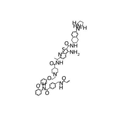 C=CC(=O)NCc1ccc(C(=O)Nc2ccccc2Oc2ccc(OCCN3CCC(C(=O)NC(C)c4ccc5c(N)c(C(=O)N[C@H]6CCc7cc(N8C[C@H]9CC[C@@H](C8)N9)ccc7C6)sc5n4)CC3)cc2)cc1